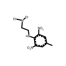 CCN(CC)CCNc1c([N+](=O)[O-])cc(C)cc1[N+](=O)[O-]